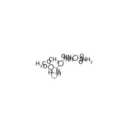 COc1cc2c(cc1OC)[C@H]1CCCC[C@H]1N=C2c1ccc(C(=O)NNc2ccc(S(N)(=O)=O)cc2)cc1